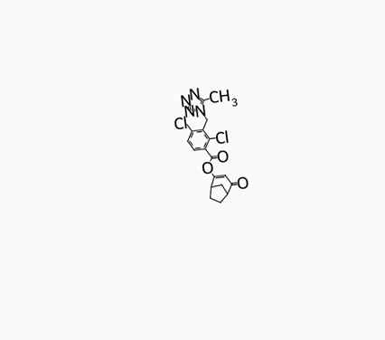 Cc1nnnn1Cc1c(Cl)ccc(C(=O)OC2=CC(=O)C3CCC2C3)c1Cl